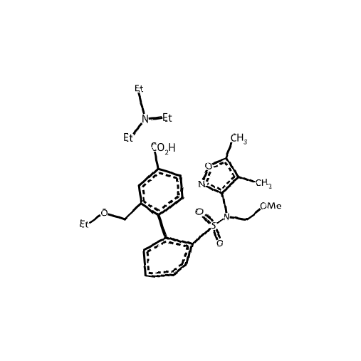 CCN(CC)CC.CCOCc1cc(C(=O)O)ccc1-c1ccccc1S(=O)(=O)N(COC)c1noc(C)c1C